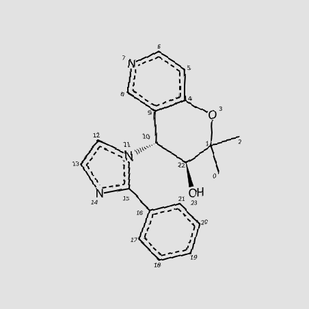 CC1(C)Oc2ccncc2[C@@H](n2ccnc2-c2ccccc2)[C@@H]1O